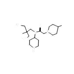 CC1CCN(CC(=O)N(CC(C)(CO)CO)C2CCNCC2)CC1